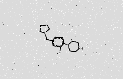 Fc1cc(CN2CCCC2)ccc1N1CCNCC1